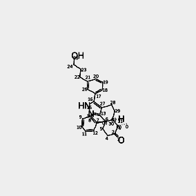 C[C@@H]1C(=O)CC[C@]2(c3ccccc3)c3n[nH]c(-c4cccc(CCCO)c4)c3CC[C@@H]12